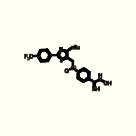 CCCCc1nc(-c2ccc(C(F)(F)F)cc2)sc1C[S+]([O-])c1ccc(C(=N)NO)cc1